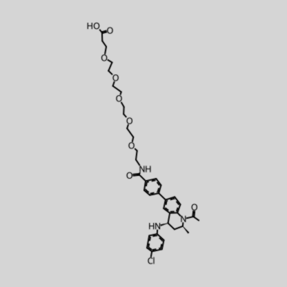 CC(=O)N1c2ccc(-c3ccc(C(=O)NCCOCCOCCOCCOCCOCCC(=O)O)cc3)cc2[C@H](Nc2ccc(Cl)cc2)C[C@@H]1C